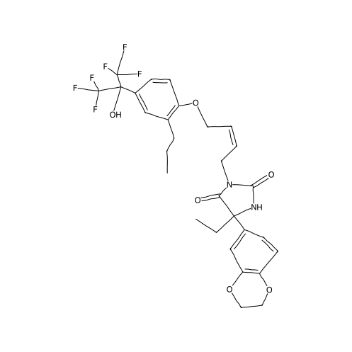 CCCc1cc(C(O)(C(F)(F)F)C(F)(F)F)ccc1OC/C=C\CN1C(=O)NC(CC)(c2ccc3c(c2)OCCO3)C1=O